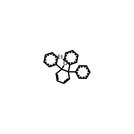 CCOC1(c2ccccc2)C=CC=CC1(c1ccccc1)c1ccccc1